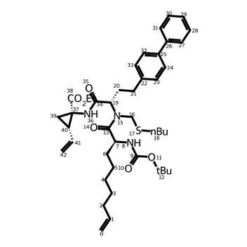 C=CCCCCC[C@H](NC(=O)OC(C)(C)C)C(=O)N(CSCCCC)[C@@H](CCc1ccc(-c2ccccc2)cc1)C(=O)N[C@]1(C(=O)OCC)C[C@H]1C=C